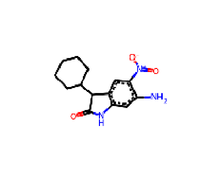 Nc1cc2c(cc1[N+](=O)[O-])C(C1CCCCC1)C(=O)N2